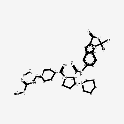 CCC1(CC)OC(=O)c2cc3cc(NC(=O)[C@@H]4[C@H](N5CCCCC5)CCN4C(=O)[C@H]4CC[C@H]([C@@H](CF)NC(=O)OC(C)(C)C)CC4)ccc3n21